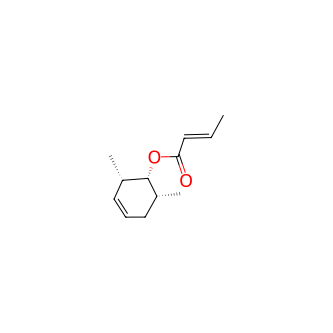 C/C=C/C(=O)O[C@@H]1[C@H](C)CC=C[C@@H]1C